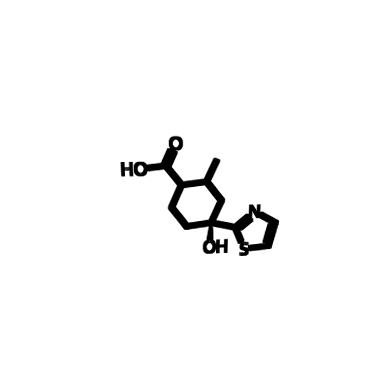 CC1C[C@](O)(c2nccs2)CCC1C(=O)O